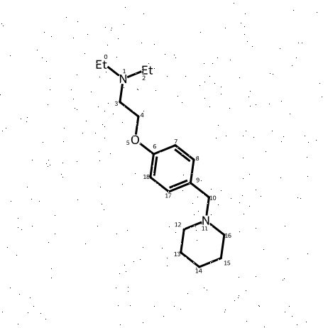 CCN(CC)CCOc1ccc(CN2CCCCC2)cc1